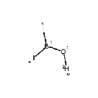 [2H]OB(I)I